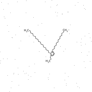 CCCCCCCCCCCCCCCCCC1N(CCC)C=CN1CCCCCCCCCCCCC